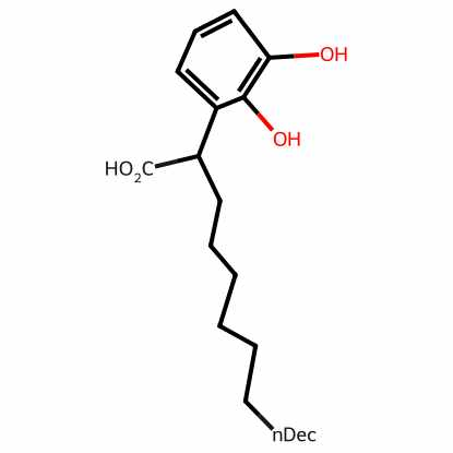 CCCCCCCCCCCCCCCCC(C(=O)O)c1cccc(O)c1O